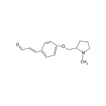 CN1CCCC1COc1ccc(C=CC=O)cc1